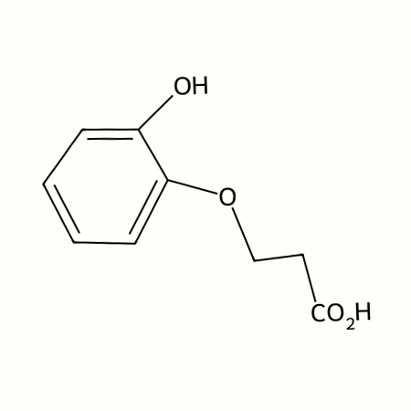 O=C(O)CCOc1ccccc1O